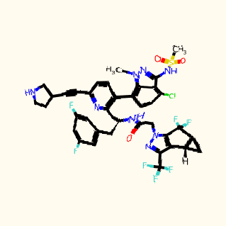 Cn1nc(NS(C)(=O)=O)c2c(Cl)ccc(-c3ccc(C#CC4CCNC4)nc3[C@H](Cc3cc(F)cc(F)c3)NC(=O)Cn3nc(C(F)(F)F)c4c3C(F)(F)C3C[C@H]43)c21